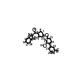 COc1nc(Oc2ccc(C(=O)c3nc4ccccc4[nH]3)cc2)ccc1-c1ccnc(F)c1